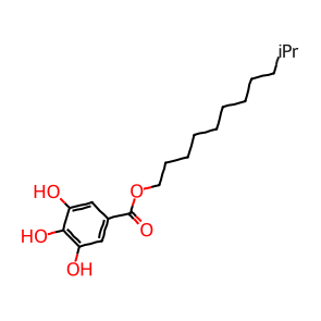 CC(C)CCCCCCCCCOC(=O)c1cc(O)c(O)c(O)c1